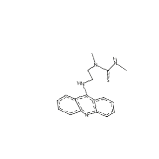 CNC(=S)N(C)CCNc1c2ccccc2nc2ccccc12